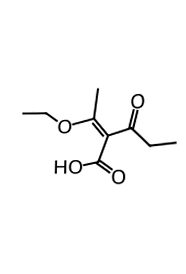 CCO/C(C)=C(\C(=O)O)C(=O)CC